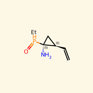 C=C[C@@H]1C[C@]1(N)[PH](=O)CC